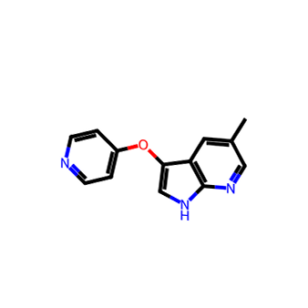 Cc1cnc2[nH]cc(Oc3ccncc3)c2c1